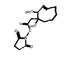 COC1/C=C/CCCCC1(CC(=O)ON1C(=O)CCC1=O)OC